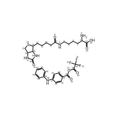 NC(CCCCNC(=O)CCCCC1SCC2NC(=O)NC21)C(=O)O.O=C(OC(=O)C(F)(F)F)c1ccc(Nc2ccccc2)cc1